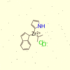 C[C](C)=[Zr+2]([c]1ccc[nH]1)[CH]1C=Cc2ccccc21.[Cl-].[Cl-]